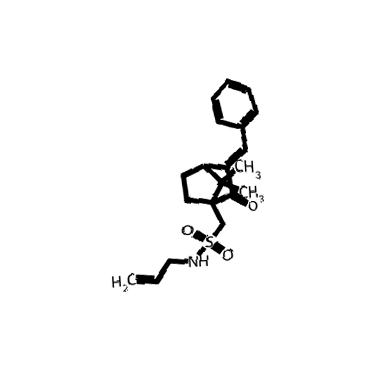 C=CCNS(=O)(=O)CC12CCC(C(=Cc3ccccc3)C1=O)C2(C)C